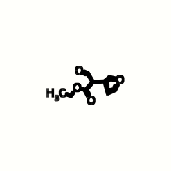 CCOC(=O)C(C=O)c1ccoc1